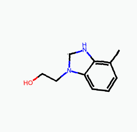 Cc1cccc2c1N[CH]N2CCO